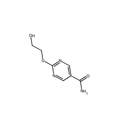 NC(=O)c1cnc(OCCO)nc1